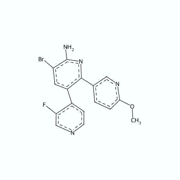 COc1ccc(-c2nc(N)c(Br)cc2-c2ccncc2F)cn1